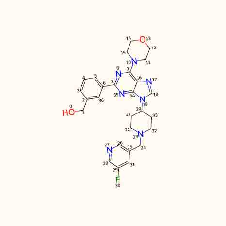 OCc1cccc(-c2nc(N3CCOCC3)c3ncn(C4CCN(Cc5cncc(F)c5)CC4)c3n2)c1